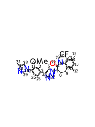 COc1cc(-c2cn(C3CCc4c(C)cc(C)cc4N(CC(F)(F)F)C3=O)nn2)ccc1-n1cnc(C)c1